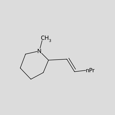 CCCC=CC1CCCCN1C